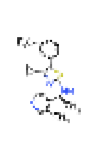 C=C(Nc1nc(C2CC2)c(-c2cccc(C(F)(F)F)c2)s1)c1ccncc1C